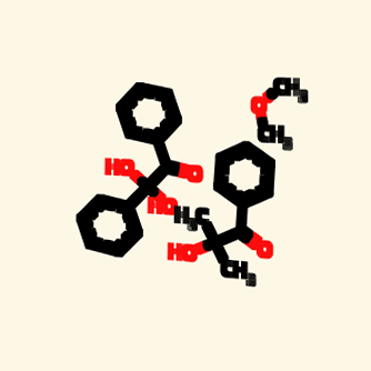 CC(C)(O)C(=O)c1ccccc1.COC.O=C(c1ccccc1)C(O)(O)c1ccccc1